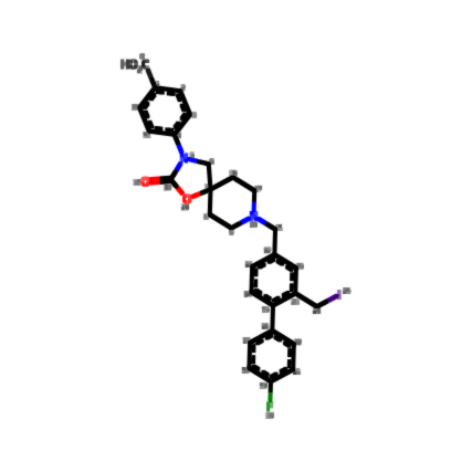 O=C(O)c1ccc(N2CC3(CCN(Cc4ccc(-c5ccc(F)cc5)c(CI)c4)CC3)OC2=O)cc1